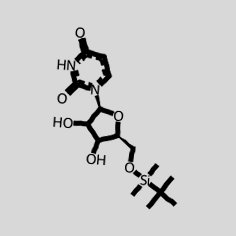 CC(C)(C)[Si](C)(C)OC[C@@H]1O[C@H](n2ccc(=O)[nH]c2=O)C(O)C1O